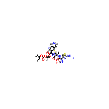 CCC(CC)OC(=O)O[C@H](C)OC(=O)C1=C(/C=C\c2cccnc2)CS[C@@H]2[C@H](NC(=O)/C(=N\O)c3csc(N)n3)C(=O)N12